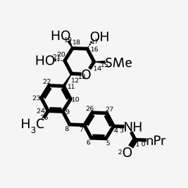 CCCC(=O)Nc1ccc(Cc2cc([C@@H]3O[C@H](SC)[C@@H](O)[C@H](O)[C@H]3O)ccc2C)cc1